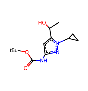 CC(O)c1cc(NC(=O)OC(C)(C)C)nn1C1CC1